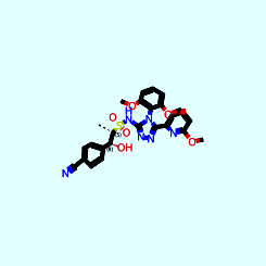 COc1cccc(-c2nnc(NS(=O)(=O)[C@@H](C)[C@H](O)c3ccc(C#N)cc3)n2-c2c(OC)cccc2OC)n1